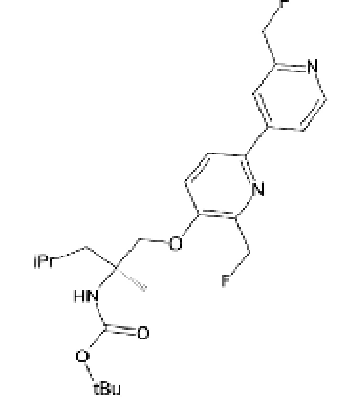 CC(C)C[C@@](C)(COc1ccc(-c2ccnc(CF)c2)nc1CF)NC(=O)OC(C)(C)C